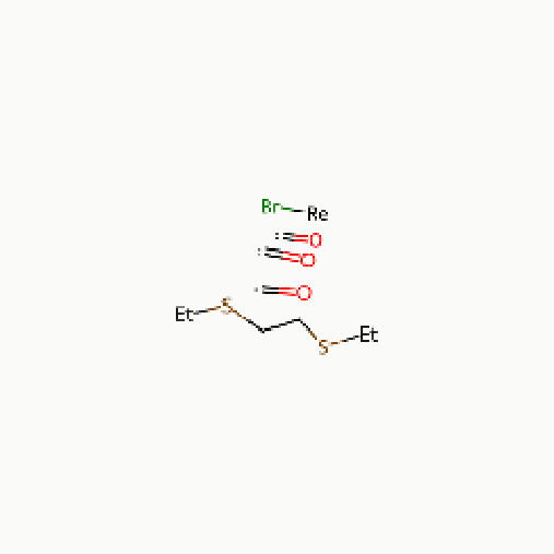 CCSCCSCC.[Br][Re].[C]=O.[C]=O.[C]=O